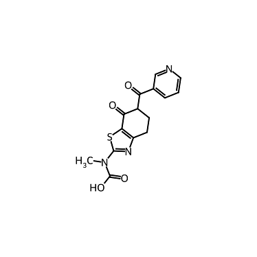 CN(C(=O)O)c1nc2c(s1)C(=O)C(C(=O)c1cccnc1)CC2